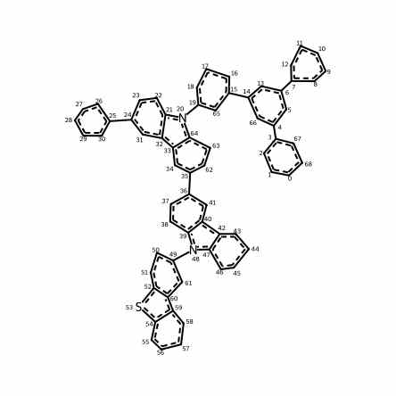 c1ccc(-c2cc(-c3ccccc3)cc(-c3cccc(-n4c5ccc(-c6ccccc6)cc5c5cc(-c6ccc7c(c6)c6ccccc6n7-c6ccc7sc8ccccc8c7c6)ccc54)c3)c2)cc1